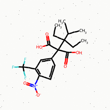 CCC(CC)(C(C)C)C(C(=O)O)(C(=O)O)c1ccc([N+](=O)[O-])c(C(F)(F)F)c1